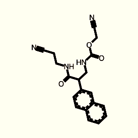 N#CCCNC(=O)C(CNC(=O)OCC#N)c1ccc2ccccc2c1